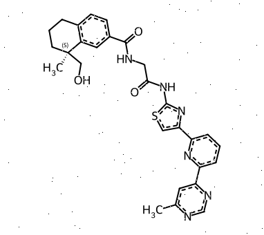 Cc1cc(-c2cccc(-c3csc(NC(=O)CNC(=O)c4ccc5c(c4)[C@@](C)(CO)CCC5)n3)n2)ncn1